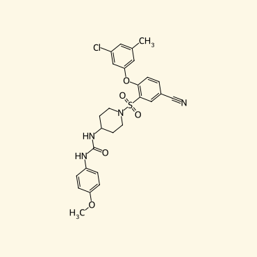 COc1ccc(NC(=O)NC2CCN(S(=O)(=O)c3cc(C#N)ccc3Oc3cc(C)cc(Cl)c3)CC2)cc1